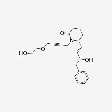 O=C1CCCC(C=CC(O)Cc2ccccc2)N1CC#CCOCCO